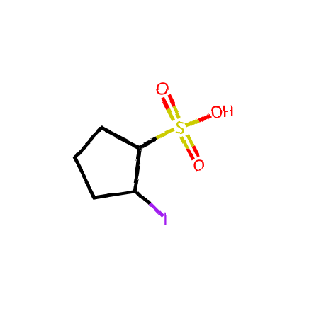 O=S(=O)(O)C1CCCC1I